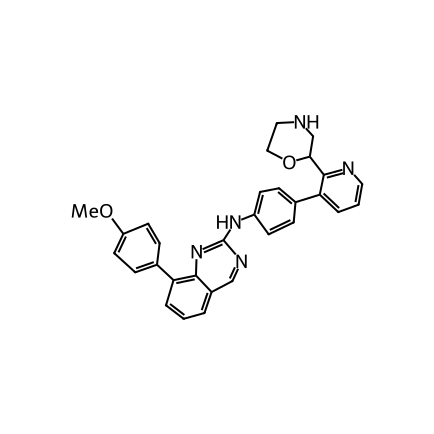 COc1ccc(-c2cccc3cnc(Nc4ccc(-c5cccnc5C5CNCCO5)cc4)nc23)cc1